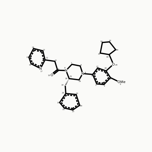 COc1ccc(N2CCN(C(=O)Cc3ccccn3)[C@@H](Cc3ccccc3)C2)cc1OC1CCCC1